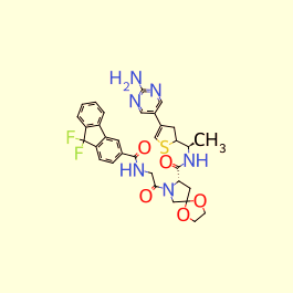 C[C@@H](NC(=O)[C@@H]1CC2(CN1C(=O)CNC(=O)c1ccc3c(c1)-c1ccccc1C3(F)F)OCCO2)C1CC(c2cnc(N)nc2)=CS1